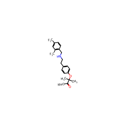 COC(=O)C(C)(C)Oc1ccc(CCNCc2ccc(C(F)(F)F)cc2C(F)(F)F)cc1